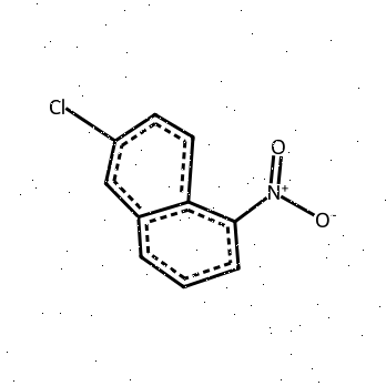 O=[N+]([O-])c1cccc2cc(Cl)ccc12